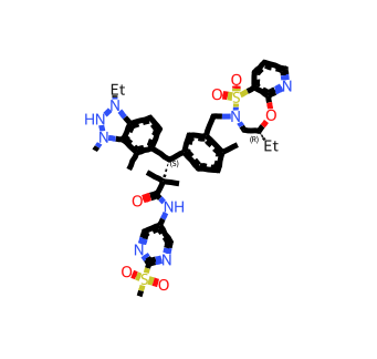 CC[C@@H]1CN(Cc2cc([C@@H](c3ccc4c(c3C)N(C)NN4CC)C(C)(C)C(=O)Nc3cnc(S(C)(=O)=O)nc3)ccc2C)S(=O)(=O)c2cccnc2O1